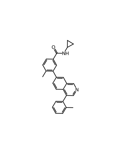 Cc1ccc(C(=O)NC2CC2)cc1-c1ccc2c(-c3ccccc3C)cncc2c1